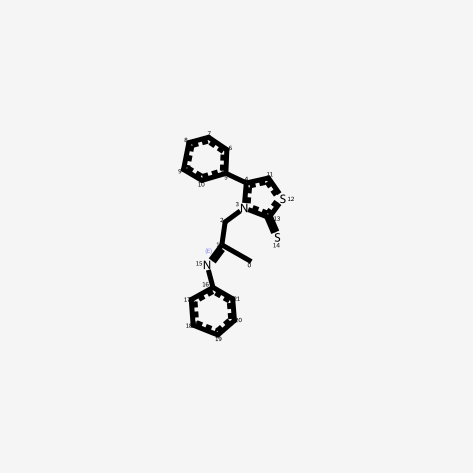 C/C(Cn1c(-c2ccccc2)csc1=S)=N\c1ccccc1